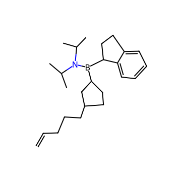 C=CCCCC1CCC(B(C2CCc3ccccc32)N(C(C)C)C(C)C)C1